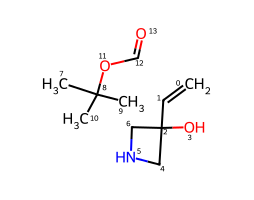 C=CC1(O)CNC1.CC(C)(C)OC=O